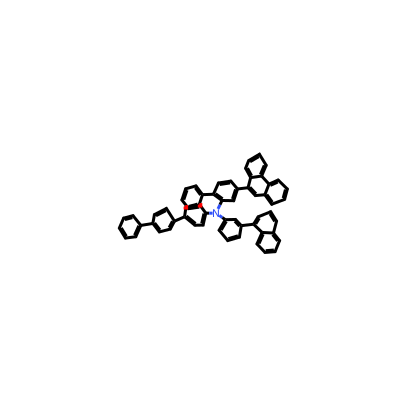 c1ccc(-c2ccc(-c3ccc(N(c4cccc(-c5cccc6ccccc56)c4)c4cc(-c5cc6ccccc6c6ccccc56)ccc4-c4ccccc4)cc3)cc2)cc1